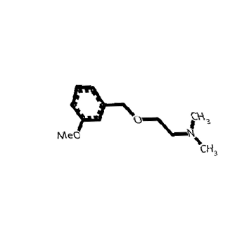 COc1cccc(COCCN(C)C)c1